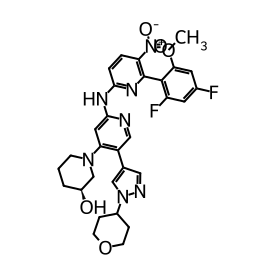 COc1cc(F)cc(F)c1-c1nc(Nc2cc(N3CCC[C@H](O)C3)c(-c3cnn(C4CCOCC4)c3)cn2)ccc1[N+](=O)[O-]